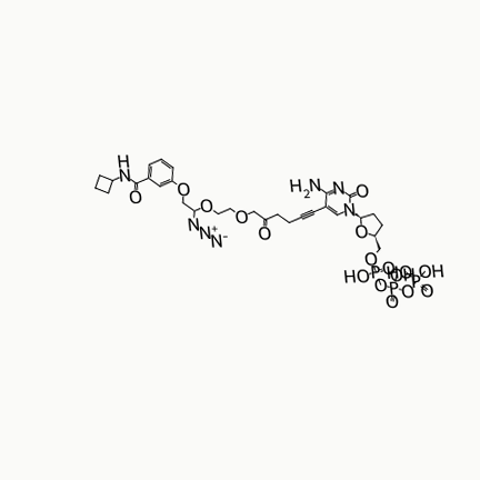 [N-]=[N+]=NC(COc1cccc(C(=O)NC2CCC2)c1)OCCOCC(=O)CCC#Cc1cn([C@H]2CC[C@@H](COP(=O)(O)OP(=O)(O)OP(=O)(O)O)O2)c(=O)nc1N